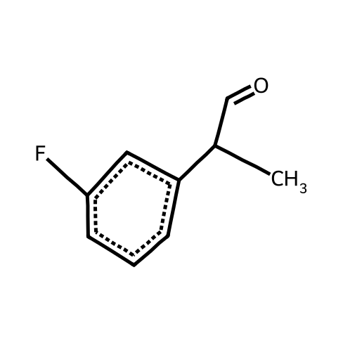 CC(C=O)c1cccc(F)c1